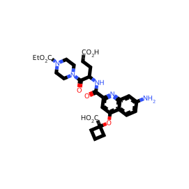 CCOC(=O)N1CCN(C(=O)C(CCC(=O)O)NC(=O)c2cc(OC3(C(=O)O)CCC3)c3ccc(N)cc3n2)CC1